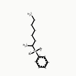 CCCCCC[CH](C)[Sn]([Br])([Br])[c]1ccccc1